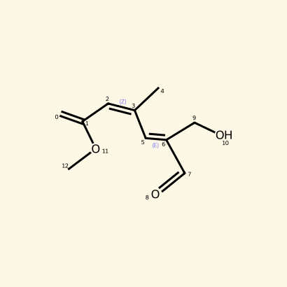 C=C(/C=C(C)\C=C(\C=O)CO)OC